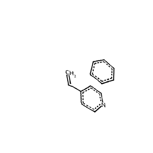 C=Cc1ccncc1.c1ccccc1